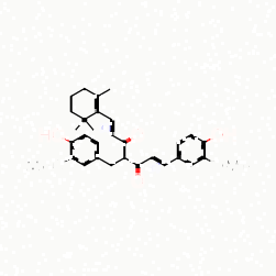 COc1cc(/C=C/C(=O)C(Cc2ccc(O)c(OC)c2)C(=O)/C=C/C2=C(C)CCCC2(C)C)ccc1O